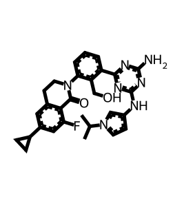 CC(C)n1ccc(Nc2nc(N)nc(-c3cccc(N4CCc5cc(C6CC6)cc(F)c5C4=O)c3CO)n2)c1